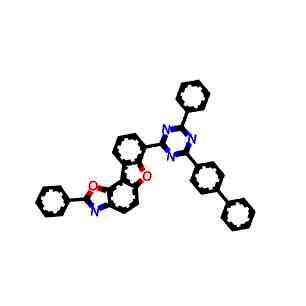 c1ccc(-c2ccc(-c3nc(-c4ccccc4)nc(-c4cccc5c4oc4ccc6nc(-c7ccccc7)oc6c45)n3)cc2)cc1